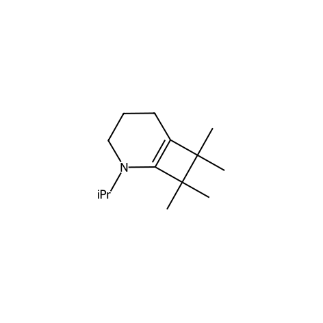 CC(C)N1CCCC2=C1C(C)(C)C2(C)C